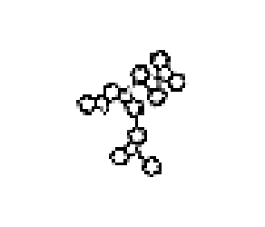 c1ccc(-n2c3ccccc3c3cc(-c4ccc5c(c4)c4c6oc7ccccc7c6ccc4n5-c4cccc5c4-c4ccccc4C54c5ccccc5-c5ccccc54)ccc32)cc1